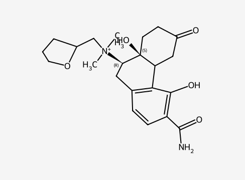 C[N+](C)(CC1CCCO1)[C@@H]1Cc2ccc(C(N)=O)c(O)c2C2CC(=O)CC[C@]21O